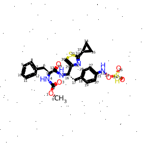 COC(=O)N[C@@H](Cc1ccccc1)C(=O)N[C@@H](Cc1ccc(NO[SH](=O)=O)cc1)c1csc(C2CC2)n1